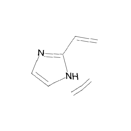 C=C.C=Cc1ncc[nH]1